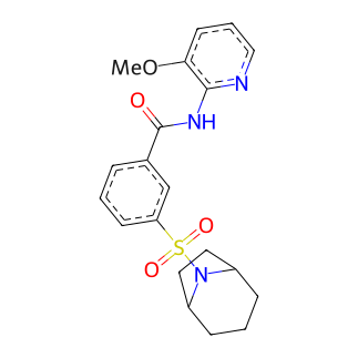 COc1cccnc1NC(=O)c1cccc(S(=O)(=O)N2C3CCCC2CC3)c1